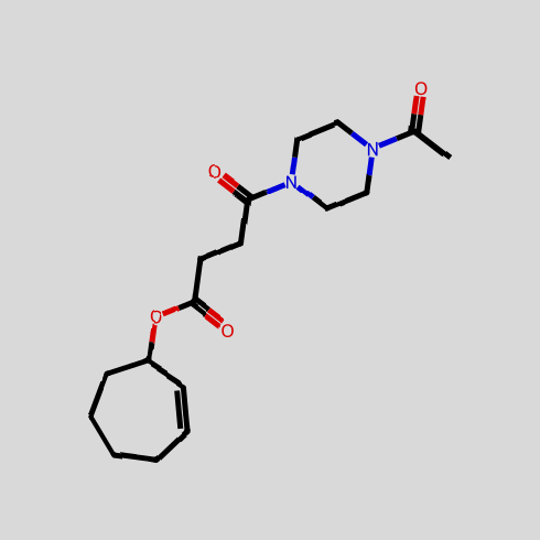 CC(=O)N1CCN(C(=O)CCC(=O)OC2C=CCCCC2)CC1